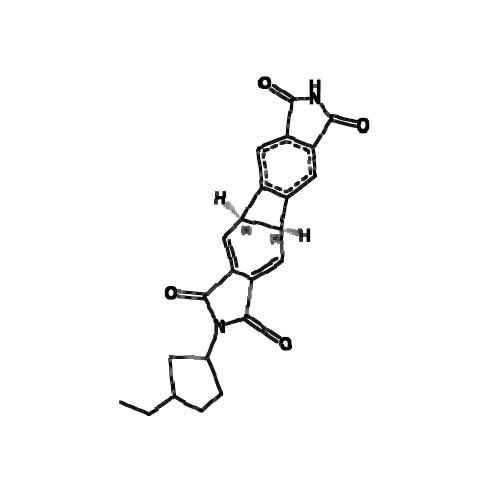 CCC1CCC(N2C(=O)C3=C[C@@H]4c5cc6c(cc5[C@@H]4C=C3C2=O)C(=O)NC6=O)C1